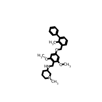 COc1cc(OCc2cccc(-c3ccccc3)c2C)cc(OC)c1CNC1CCCN(C)C1